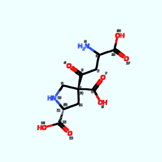 NC(CC(=O)[C@]1(C(=O)O)CN[C@@H](C(=O)O)C1)C(=O)O